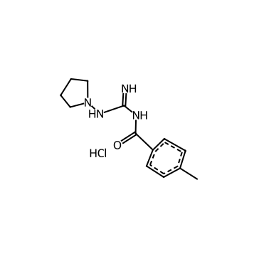 Cc1ccc(C(=O)NC(=N)NN2CCCC2)cc1.Cl